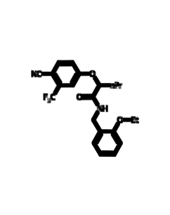 CCCC(Oc1ccc(C#N)c(C(F)(F)F)c1)C(=O)NCc1ccccc1OCC